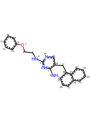 Nc1nc(NCCOc2ccccc2)ncc1Cc1cccc2ccccc12